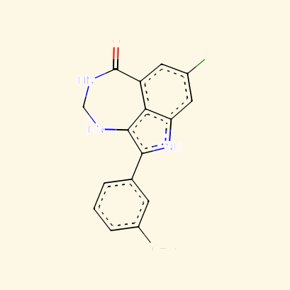 O=Cc1cccc(-c2[nH]c3cc(F)cc4c3c2NCNC4=O)c1